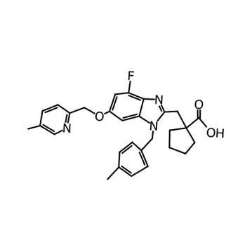 Cc1ccc(Cn2c(CC3(C(=O)O)CCCC3)nc3c(F)cc(OCc4ccc(C)cn4)cc32)cc1